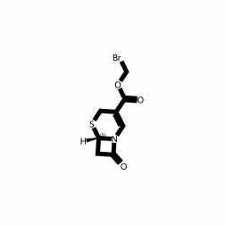 O=C(OCBr)C1=CN2C(=O)C[C@@H]2SC1